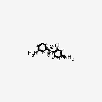 Nc1cccc(S(=O)(=O)c2ccc(N)cc2Cl)c1